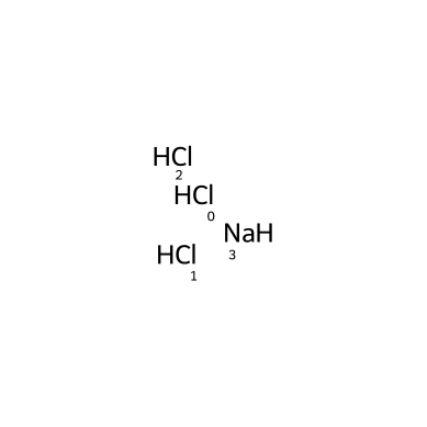 Cl.Cl.Cl.[NaH]